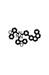 c1cc(-c2ccc3ccc4ccc5ccccc5c4c3c2)cc(-c2nc(-c3cccc4oc5ccccc5c34)nc(-c3cccc4oc5ccccc5c34)n2)c1